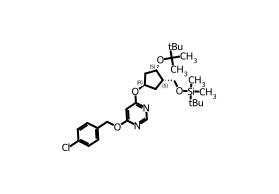 CC(C)(C)C(C)(C)O[C@H]1C[C@H](Oc2cc(OCc3ccc(Cl)cc3)ncn2)C[C@H]1CO[Si](C)(C)C(C)(C)C